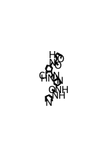 O=C(Nc1cccnc1)Nc1cnc2nc(-c3cc(NC(=O)c4ccco4)ccc3Cl)[nH]c2c1